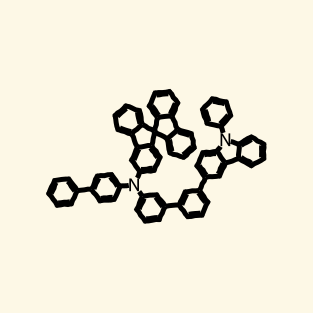 c1ccc(-c2ccc(N(c3cccc(-c4cccc(-c5ccc6c(c5)c5ccccc5n6-c5ccccc5)c4)c3)c3ccc4c(c3)-c3ccccc3C43c4ccccc4-c4ccccc43)cc2)cc1